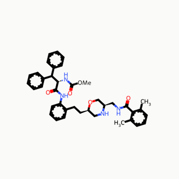 COC(=O)N[C@H](C(=O)Nc1ccccc1CC[C@@H]1CN[C@H](CNC(=O)c2c(C)cccc2C)CO1)C(c1ccccc1)c1ccccc1